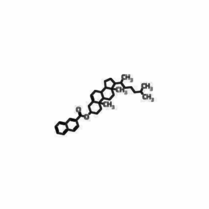 CC(C)CCCC(C)C1CCC2C3CC=C4CC(OC(=O)c5ccc6ccccc6c5)CCC4(C)C3CCC12C